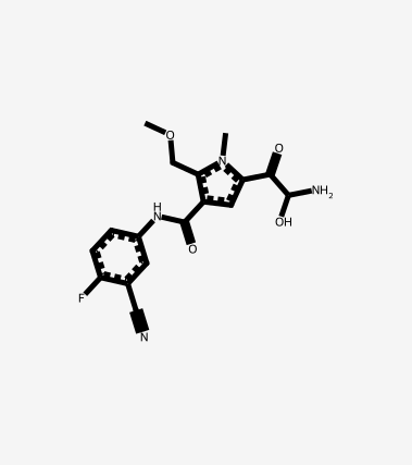 COCc1c(C(=O)Nc2ccc(F)c(C#N)c2)cc(C(=O)C(N)O)n1C